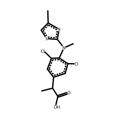 Cc1csc(N(C)c2c(Cl)cc(C(C)C(=O)O)cc2Cl)n1